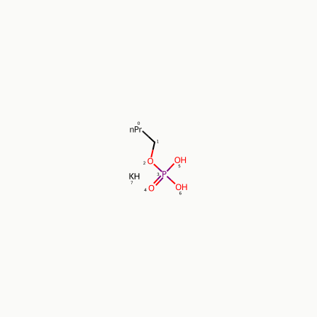 CCCCOP(=O)(O)O.[KH]